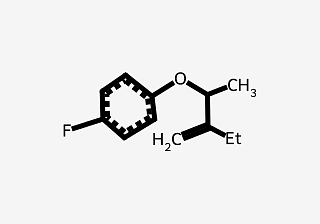 C=C(CC)C(C)Oc1ccc(F)cc1